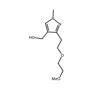 COCCOCCc1nn(C)cc1CO